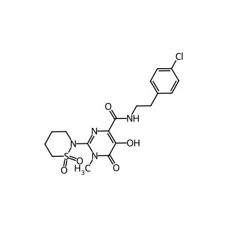 Cn1c(N2CCCCS2(=O)=O)nc(C(=O)NCCc2ccc(Cl)cc2)c(O)c1=O